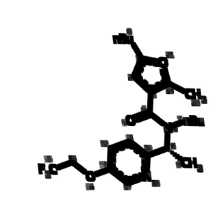 CCCCc1cc(C(=O)N(CCCC)[C@H](C)c2ccc(OCC(F)(F)F)cn2)c(C)o1